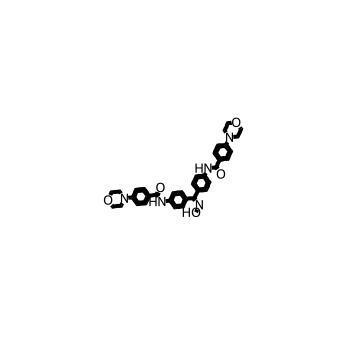 O=C(Nc1ccc(C(=NO)c2ccc(NC(=O)c3ccc(N4CCOCC4)cc3)cc2)cc1)c1ccc(N2CCOCC2)cc1